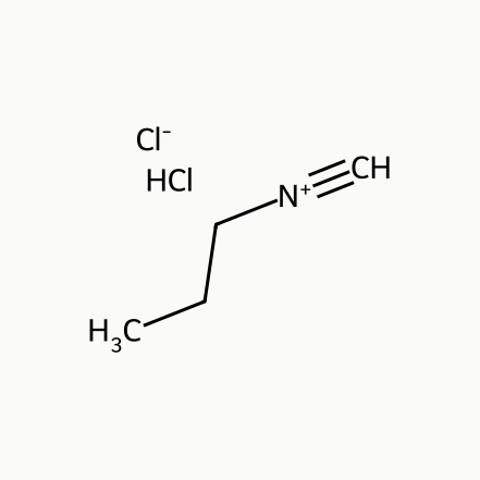 C#[N+]CCC.Cl.[Cl-]